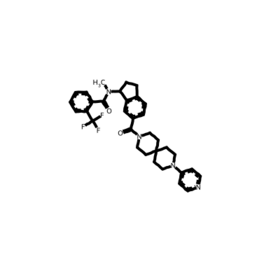 CN(C(=O)c1ccccc1C(F)(F)F)C1CCc2ccc(C(=O)N3CCC4(CC3)CCN(c3ccncc3)CC4)cc21